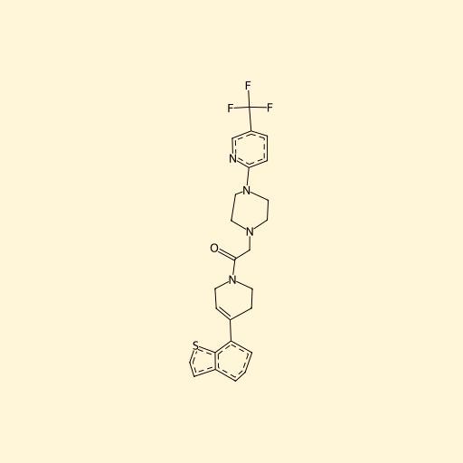 O=C(CN1CCN(c2ccc(C(F)(F)F)cn2)CC1)N1CC=C(c2cccc3ccsc23)CC1